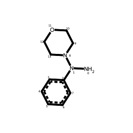 NN(c1ccccc1)N1CCOCC1